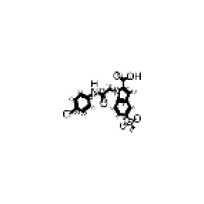 CS(=O)(=O)c1ccc2c(c1)cc(C(=O)O)n2CC(=O)Nc1ccc(Cl)cc1